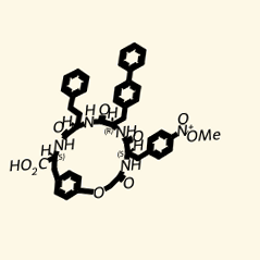 CO[N+](=O)c1ccc(C[C@@H]2NC(=O)COc3ccc(cc3)C[C@@H](C(=O)O)NC(=O)[C@H](CCc3ccccc3)NC(=O)[C@@H](Cc3ccc(-c4ccccc4)cc3)NC2=O)cc1